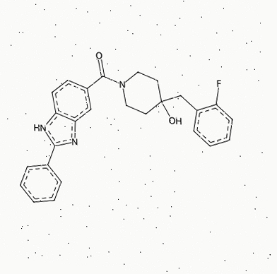 O=C(c1ccc2[nH]c(-c3ccccc3)nc2c1)N1CCC(O)(Cc2ccccc2F)CC1